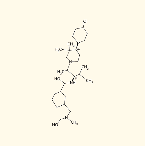 CC(C)[C@@H](NC(O)C1CCCC(CN(C)CO)C1)C(C)N1CC[C@H](C2CCC(Cl)CC2)C(C)(C)C1